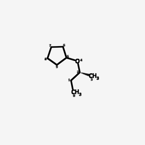 CC[C@@H](C)OC1CCCC1